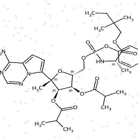 CCC(C)(C)COC(=O)[C@H](C)NP(=O)(OC[C@H]1O[C@@](C)(c2ccc3c(N)ncnn23)[C@H](OC(=O)C(C)C)[C@@H]1OC(=O)C(C)C)Oc1ccccc1